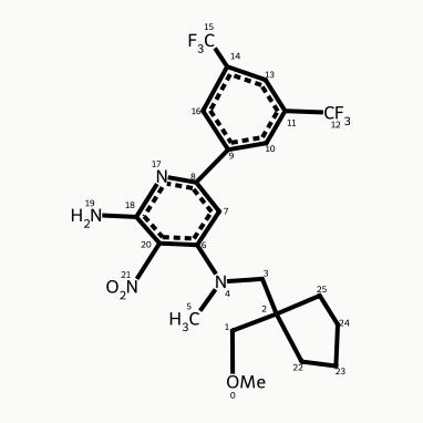 COCC1(CN(C)c2cc(-c3cc(C(F)(F)F)cc(C(F)(F)F)c3)nc(N)c2[N+](=O)[O-])CCCC1